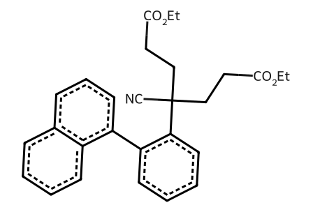 CCOC(=O)CCC(C#N)(CCC(=O)OCC)c1ccccc1-c1cccc2ccccc12